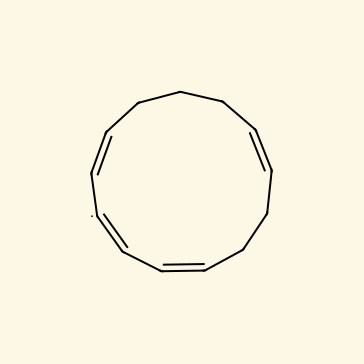 [C]1=CC=CCCC=CCCCC=C1